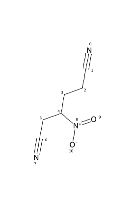 N#CCCC(CC#N)[N+](=O)[O-]